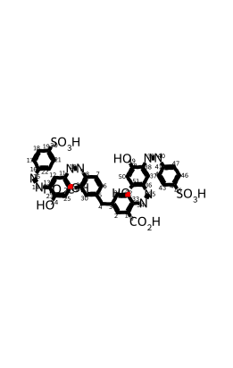 O=C(O)c1cc(Cc2ccc(/N=N\c3cc(/N=N\c4ccc(S(=O)(=O)O)cc4)c(O)cc3O)c(C(=O)O)c2)ccc1/N=N\c1cc(/N=N\c2ccc(S(=O)(=O)O)cc2)c(O)cc1O